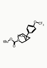 CC(C)(C)OC(=O)N1CCC2(c3ccc(OC(F)(F)F)cc3)C[C@]2(CO)C1